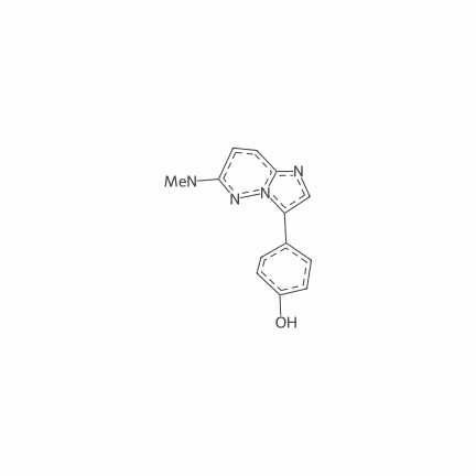 CNc1ccc2ncc(-c3ccc(O)cc3)n2n1